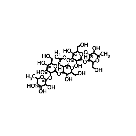 CC(=O)NC1[C@H](O[C@@H]2C(O)[C@@H](O[C@H]3C(CO)O[C@@H](C)C(O)[C@H]3O)OC(CO)[C@@H]2O)OC(CO)[C@H](O)[C@@H]1O[C@@H]1OC(CO)[C@H](O)[C@H](O)C1O[C@@H]1OC(C)[C@@H](O)[C@H](O)C1O